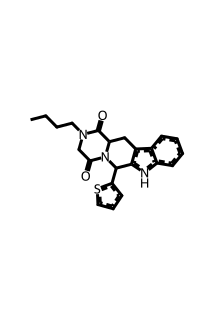 CCCCN1CC(=O)N2C(Cc3c([nH]c4ccccc34)C2c2cccs2)C1=O